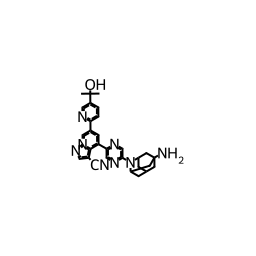 CC(C)(O)c1ccc(-c2cc(-c3cnc(N4C5CC6CC4CC(N)(C6)C5)cn3)c3c(C#N)cnn3c2)nc1